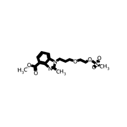 COC(=O)c1cccc2c1nc(C)n2CCCOCCOS(C)(=O)=O